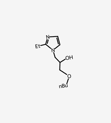 CCCCOCC(O)Cn1ccnc1CC